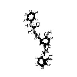 O=C(NN=Cc1cc(N=Nc2ccccc2Cl)ccc1O)Nc1ccccc1